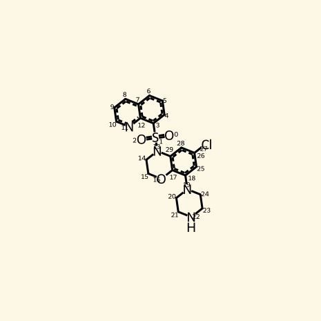 O=S(=O)(c1cccc2cccnc12)N1CCOc2c(N3CCNCC3)cc(Cl)cc21